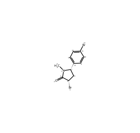 CN1C(=O)[C@@H](Br)C[C@H]1c1ccc(Br)cc1